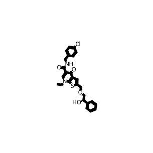 CCn1cc(C(=O)NCc2ccc(Cl)cc2)c(=O)c2cc(COC[C@H](O)c3ccccc3)sc21